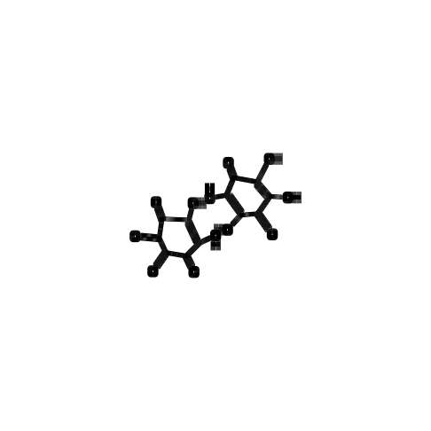 O=C1C(O)=C(O)C(=O)C(O)=C1O.O=c1c(O)c(O)c(=O)c(=O)c1=O